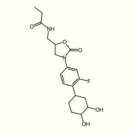 CCC(=O)NCC1CN(c2ccc(C3CCC(O)C(O)C3)c(F)c2)C(=O)O1